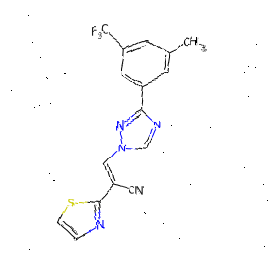 Cc1cc(-c2ncn(/C=C(\C#N)c3nccs3)n2)cc(C(F)(F)F)c1